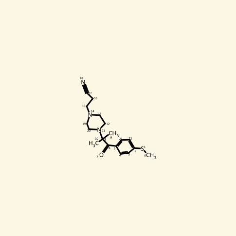 CSc1ccc(C(=O)C(C)(C)N2CCN(CCC#N)CC2)cc1